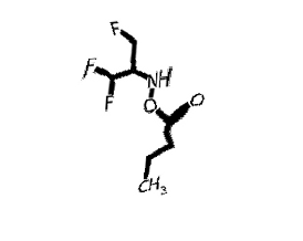 CCCC(=O)ONC(CF)C(F)F